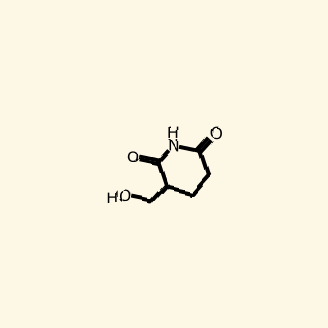 O=C1CCC(CO)C(=O)N1